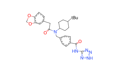 CC(C)(C)C1CCC(N(Cc2ccc(C(=O)Nc3nn[nH]n3)cc2)C(=O)Cc2ccc3c(c2)OCO3)CC1